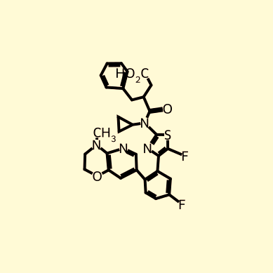 CN1CCOc2cc(-c3ccc(F)cc3-c3nc(N(C(=O)C(CC(=O)O)Cc4ccccc4)C4CC4)sc3F)cnc21